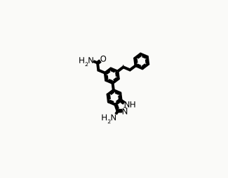 NC(=O)Cc1cc([CH]Cc2ccccc2)cc(-c2ccc3c(N)n[nH]c3c2)c1